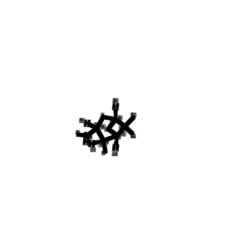 CN[C@@H]1C[C@H]2C[C@@H]([C@@H]1C)C2(C)C